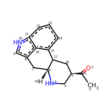 CC(=O)[C@H]1CN[C@@H]2Cc3c[nH]c4cccc(c34)C2C1